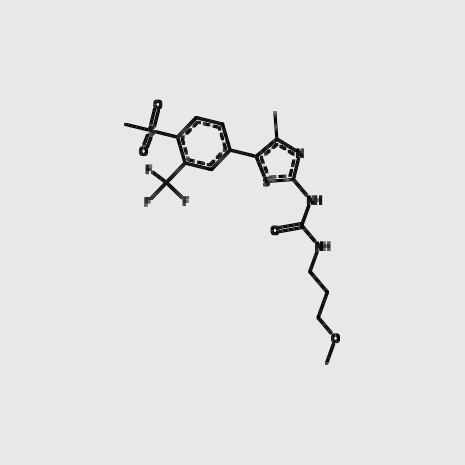 COCCCNC(=O)Nc1nc(C)c(-c2ccc(S(C)(=O)=O)c(C(F)(F)F)c2)s1